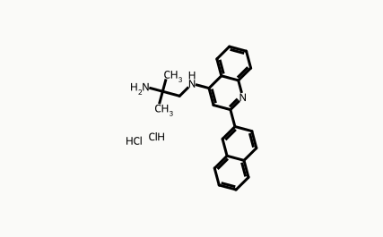 CC(C)(N)CNc1cc(-c2ccc3ccccc3c2)nc2ccccc12.Cl.Cl